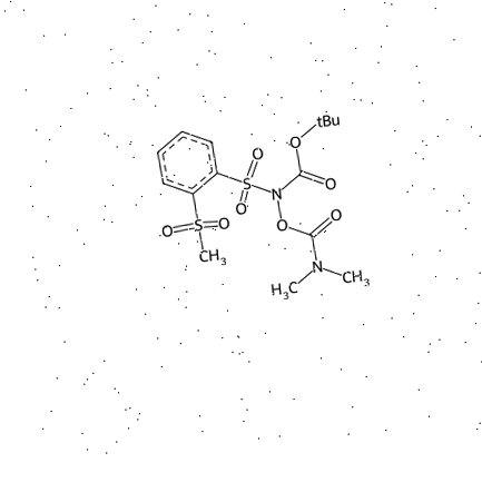 CN(C)C(=O)ON(C(=O)OC(C)(C)C)S(=O)(=O)c1ccccc1S(C)(=O)=O